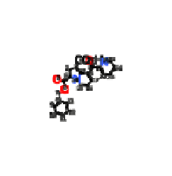 O=C(O)c1cc(C(=O)OCc2ccccc2)n2cccc(C(=O)c3ccccn3)c12